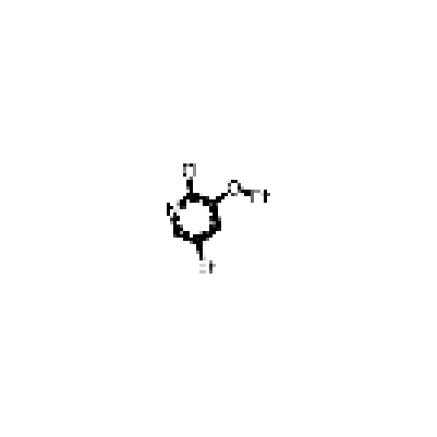 [CH2]Cc1cnc(Cl)c(OCC)c1